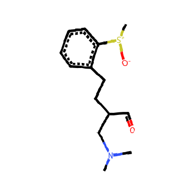 CN(C)CC(C=O)CCc1ccccc1[S+](C)[O-]